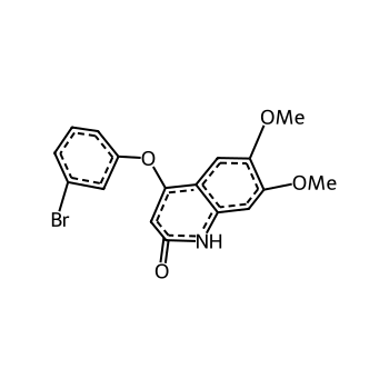 COc1cc2[nH]c(=O)cc(Oc3cccc(Br)c3)c2cc1OC